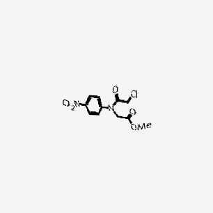 COC(=O)CN(C(=O)CCl)c1ccc([N+](=O)[O-])cc1